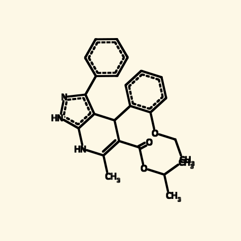 CCOc1ccccc1C1C(C(=O)OC(C)C)=C(C)Nc2[nH]nc(-c3ccccc3)c21